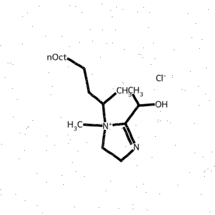 CCCCCCCCCCC(C)[N+]1(C)CCN=C1C(C)O.[Cl-]